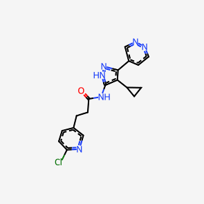 O=C(CCc1ccc(Cl)nc1)Nc1[nH]nc(-c2ccnnc2)c1C1CC1